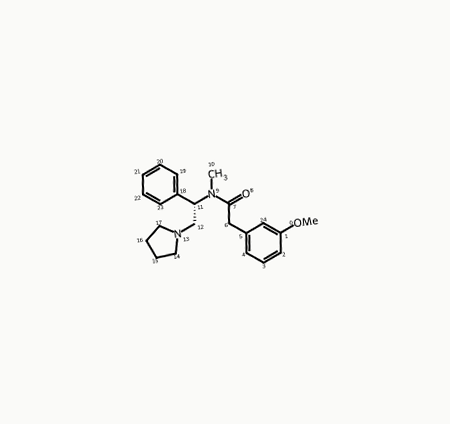 COc1cccc(CC(=O)N(C)[C@H](CN2CCCC2)c2ccccc2)c1